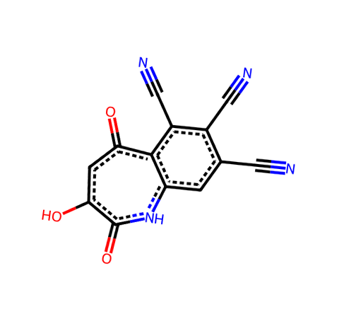 N#Cc1cc2[nH]c(=O)c(O)cc(=O)c2c(C#N)c1C#N